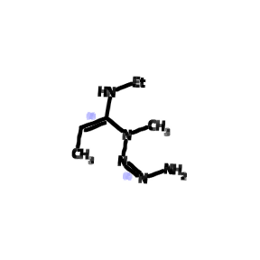 C/C=C(/NCC)N(C)/N=N\N